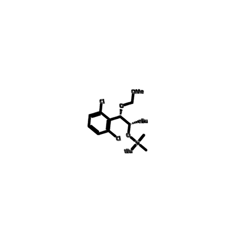 CCCC[C@H](O[Si](C)(C)C(C)(C)C)[C@@H](OCOC)c1c(Cl)cccc1Cl